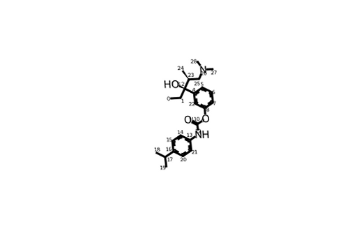 CC[C@@](O)(c1cccc(OC(=O)Nc2ccc(C(C)C)cc2)c1)[C@@H](C)CN(C)C